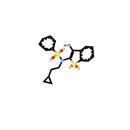 CNC1=C(N(CCC2CC2)S(=O)(=O)c2ccccc2)S(=O)(=O)c2ccccc21